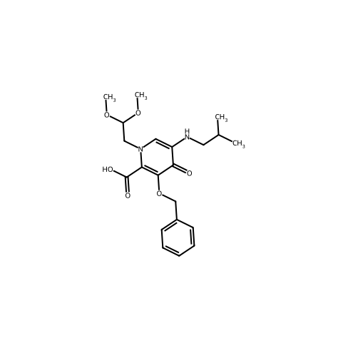 COC(Cn1cc(NCC(C)C)c(=O)c(OCc2ccccc2)c1C(=O)O)OC